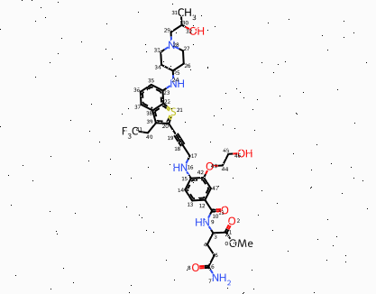 COC(=O)C(CCC(N)=O)NC(=O)c1ccc(NCC#Cc2sc3c(NC4CCN(CC(C)O)CC4)cccc3c2CC(F)(F)F)c(OCCO)c1